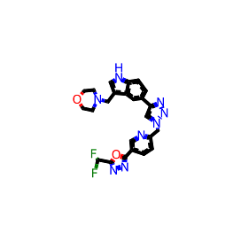 FC(F)c1nnc(-c2ccc(Cn3cc(-c4ccc5[nH]cc(CN6CCOCC6)c5c4)nn3)nc2)o1